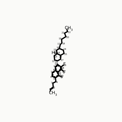 C/C=C/CCc1ccc2cc([C@@H]3CC[C@@H]4CC(CCCCCCC)CCC4C3)c(F)c(F)c2c1F